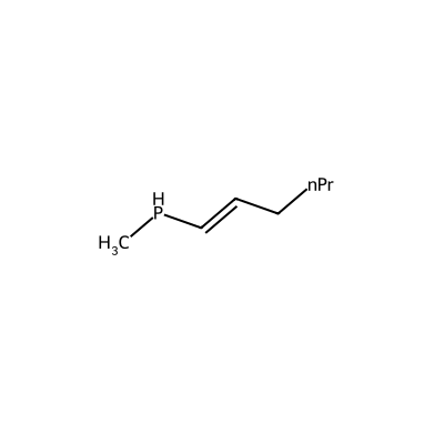 CCCCC=CPC